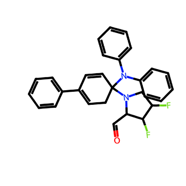 O=CC1C(F)C(F)CN1C1(N(c2ccccc2)c2ccccc2)C=CC(c2ccccc2)=CC1